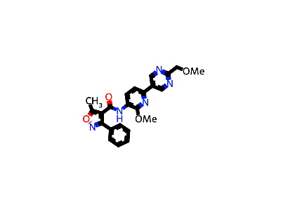 COCc1ncc(-c2ccc(NC(=O)c3c(-c4ccccc4)noc3C)c(OC)n2)cn1